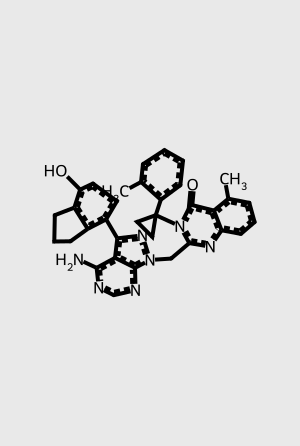 Cc1ccccc1C1(n2c(Cn3nc(-c4ccc(O)c5c4CCC5)c4c(N)ncnc43)nc3cccc(C)c3c2=O)CC1